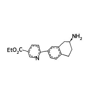 CCOC(=O)c1ccc(-c2ccc3c(c2)C[C@@H](N)CC3)nc1